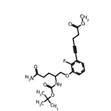 COC(=O)CCC#Cc1cccc(OCC(CCC(N)=O)NC(=O)OC(C)(C)C)c1F